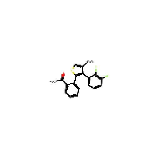 COC(=O)c1ccccc1-c1scc(OC)c1-c1cccc(F)c1F